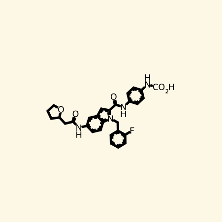 O=C(O)Nc1ccc(NC(=O)c2cc3cc(NC(=O)CC4CCCO4)ccc3n2Cc2ccccc2F)cc1